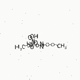 CCCc1ccc(C(=O)N[C@@H](Cc2ccc(-c3ncc(C4=CCC(C5CCC(CCC)CC5)CC4)cn3)cc2)C(=O)N2CC(C(=O)O)C2)cc1